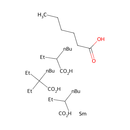 CCCCC(CC)(CC)C(=O)O.CCCCC(CC)C(=O)O.CCCCC(CC)C(=O)O.CCCCCC(=O)O.[Sm]